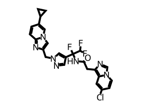 O=C(Cc1ncn2ccc(Cl)cc12)NC(F)(c1cnn(Cc2cn3cc(C4CC4)ccc3n2)c1)C(F)F